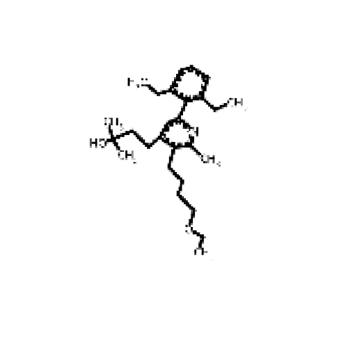 CCOCCCCc1c(CCC(C)(C)O)cc(-c2c(CC)cccc2CC)nc1C